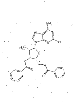 C[C@H]1C(OC(=O)c2ccccc2)[C@@H](COC(=O)c2ccccc2)O[C@H]1n1cnc2c(N)nc(Cl)nc21